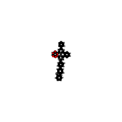 c1ccc(-c2nc(-c3ccccc3)nc(-c3ccccc3-c3nc(-c4ccccc4)nc(-c4ccc(-c5ccc6c(c5)oc5ccccc56)cc4)n3)n2)cc1